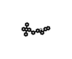 c1ccc(-c2c3ccccc3c(-c3ccccc3)c3cc(-c4cccc(-c5ccc6oc7c(-c8ccc9ccccc9c8)cccc7c6c5)c4)ccc23)cc1